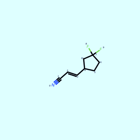 N#C/C=C/C1CCC(F)(F)C1